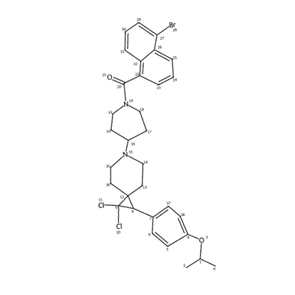 CC(C)Oc1ccc(C2C(Cl)(Cl)C23CCN(C2CCN(C(=O)c4cccc5c(Br)cccc45)CC2)CC3)cc1